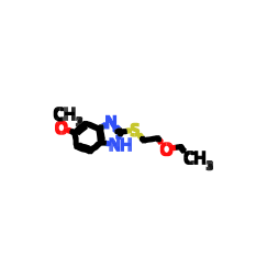 CCOCCSc1nc2cc(OC)ccc2[nH]1